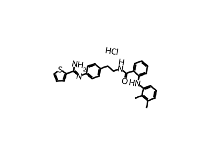 Cc1cccc(Nc2ccccc2C(=O)NCCc2ccc(/N=C(\N)c3cccs3)cc2)c1C.Cl